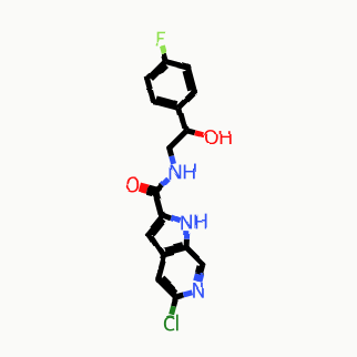 O=C(NCC(O)c1ccc(F)cc1)c1cc2cc(Cl)ncc2[nH]1